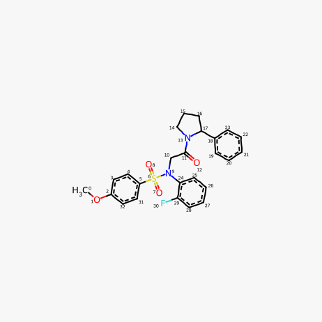 COc1ccc(S(=O)(=O)N(CC(=O)N2CCCC2c2ccccc2)c2ccccc2F)cc1